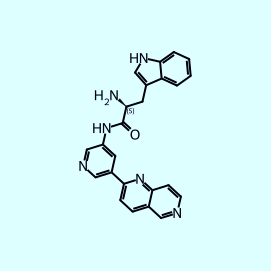 N[C@@H](Cc1c[nH]c2ccccc12)C(=O)Nc1cncc(-c2ccc3cnccc3n2)c1